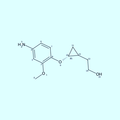 COc1cc(N)ccc1O[C@@H]1CC1CCO